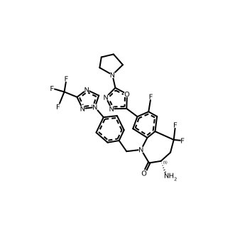 N[C@H]1CC(F)(F)c2cc(F)c(-c3nnc(N4CCCC4)o3)cc2N(Cc2ccc(-n3cnc(C(F)(F)F)n3)cc2)C1=O